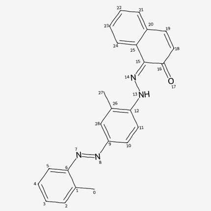 Cc1ccccc1N=Nc1ccc(NN=C2C(=O)C=Cc3ccccc32)c(C)c1